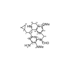 CNc1c(N)nc(OCC2CC2)nc1N(C=O)Cc1cc2c(c(OC)c1)CCNC2